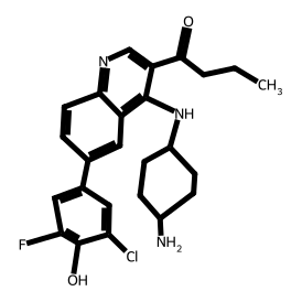 CCCC(=O)c1cnc2ccc(-c3cc(F)c(O)c(Cl)c3)cc2c1NC1CCC(N)CC1